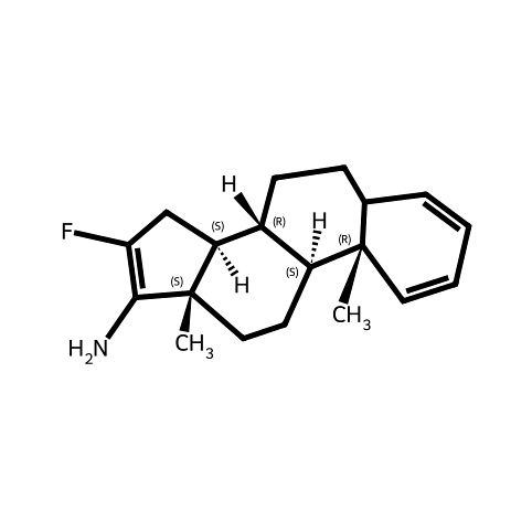 C[C@]12C=CC=CC1CC[C@@H]1[C@@H]2CC[C@]2(C)C(N)=C(F)C[C@@H]12